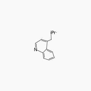 C[C](C)Cc1ccnc2ccccc12